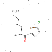 CCOC(=O)CCCCC(C(C)=O)C(=O)c1ccc(Cl)s1